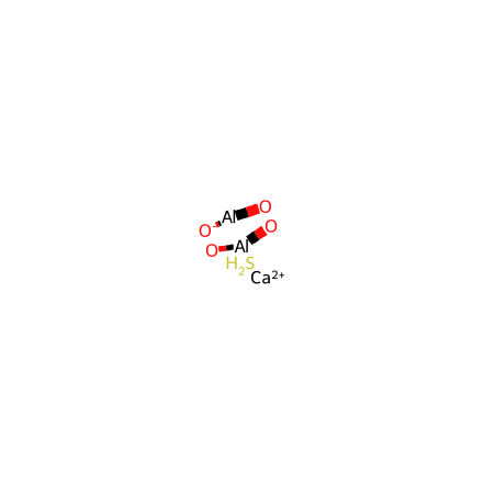 S.[Ca+2].[O]=[Al][O-].[O]=[Al][O-]